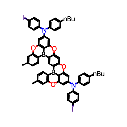 CCCCc1ccc(N(c2ccc(I)cc2)c2cc3c4c(c2)Oc2cc5c(cc2B4c2ccc(C)cc2O3)B2c3ccc(C)cc3Oc3cc(N(c4ccc(I)cc4)c4ccc(CCCC)cc4)cc(c32)O5)cc1